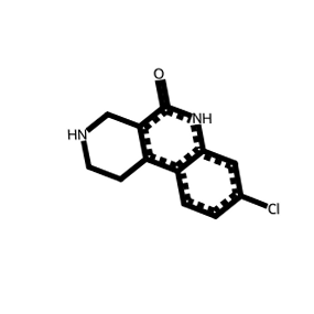 O=c1[nH]c2cc(Cl)ccc2c2c1CNCC2